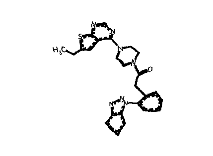 CCc1cc2c(N3CCN(C(=O)Cc4ccccc4-n4nnc5ccccc54)CC3)ncnc2s1